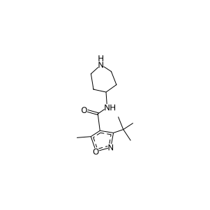 Cc1onc(C(C)(C)C)c1C(=O)NC1CCNCC1